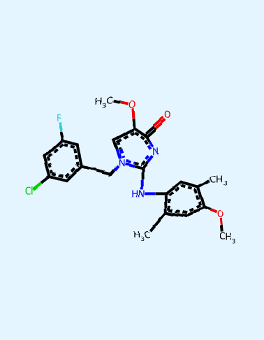 COc1cc(C)c(Nc2nc(=O)c(OC)cn2Cc2cc(F)cc(Cl)c2)cc1C